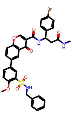 CNC(=O)CC(NC(=O)c1coc2ccc(-c3ccc(OC)c(S(=O)(=O)NCc4ccccc4)c3)cc2c1=O)c1ccc(Br)cc1